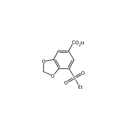 CCS(=O)(=O)c1cc(C(=O)O)cc2c1OCO2